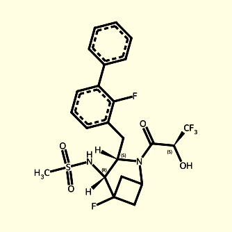 CS(=O)(=O)N[C@@H]1[C@H](Cc2cccc(-c3ccccc3)c2F)N(C(=O)[C@H](O)C(F)(F)F)C2CC1(F)C2